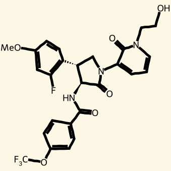 COc1ccc([C@@H]2CN(c3cccn(CCO)c3=O)C(=O)[C@H]2NC(=O)c2ccc(OC(F)(F)F)cc2)c(F)c1